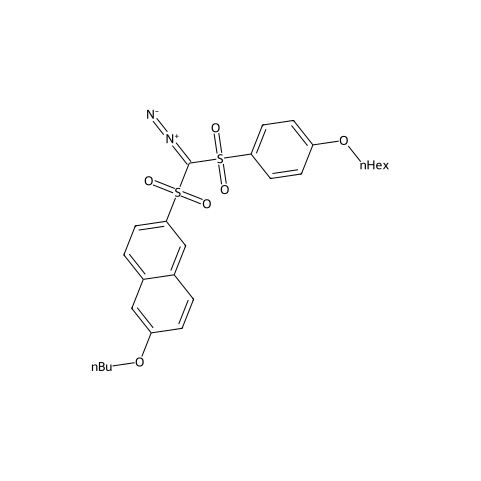 CCCCCCOc1ccc(S(=O)(=O)C(=[N+]=[N-])S(=O)(=O)c2ccc3cc(OCCCC)ccc3c2)cc1